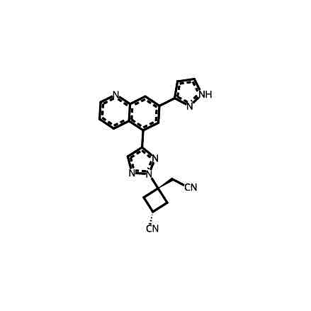 N#CC[C@]1(n2ncc(-c3cc(-c4cc[nH]n4)cc4ncccc34)n2)C[C@@H](C#N)C1